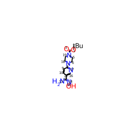 CC(C)(C)OC(=O)N1CCN(c2ccc(/C(N)=N/O)cn2)CC1